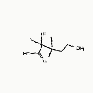 CC(C)(CCO)C(C)(O)C(=O)O